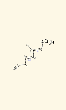 CC(/C=C/CBr)=C\C(=O)O